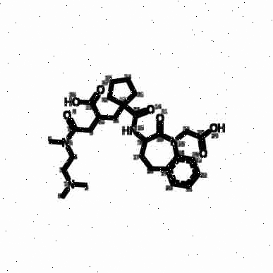 CN(C)CCN(C)C(=O)CC(CC1(C(=O)NC2CCc3ccccc3N(CC(=O)O)C2=O)CCCC1)C(=O)O